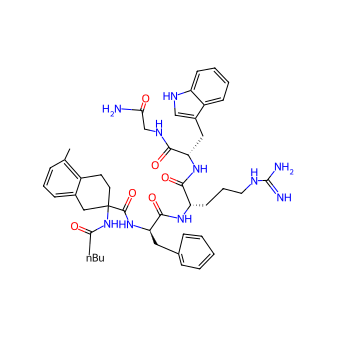 CCCCC(=O)NC1(C(=O)N[C@H](Cc2ccccc2)C(=O)N[C@@H](CCCNC(=N)N)C(=O)N[C@@H](Cc2c[nH]c3ccccc23)C(=O)NCC(N)=O)CCc2c(C)cccc2C1